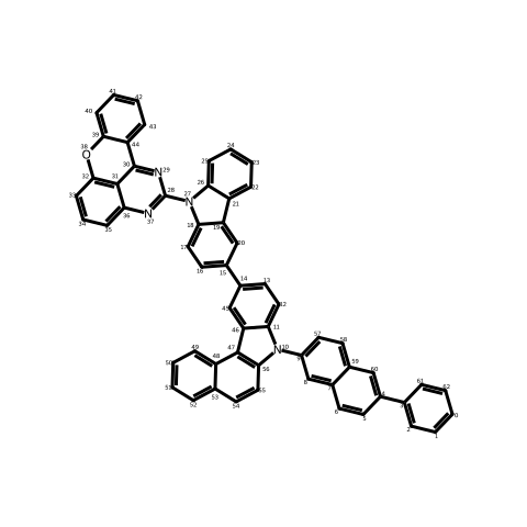 c1ccc(-c2ccc3cc(-n4c5ccc(-c6ccc7c(c6)c6ccccc6n7-c6nc7c8c(cccc8n6)Oc6ccccc6-7)cc5c5c6ccccc6ccc54)ccc3c2)cc1